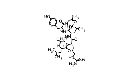 CC(C)C[C@H](NC(=O)CN)C(=O)N[C@@H](CCCNC(=N)N)C(=O)N[C@@H](CC(C)C)C(=O)N[C@@H](Cc1ccc(O)cc1)C(=O)NCC(N)=O